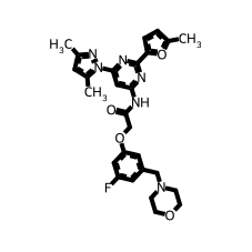 Cc1cc(C)n(-c2cc(NC(=O)COc3cc(F)cc(CN4CCOCC4)c3)nc(-c3ccc(C)o3)n2)n1